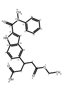 CCOC(=O)CC(CC(=O)O)c1ccc2[nH]c(C(=O)N(C)c3ccccc3)cc2c1